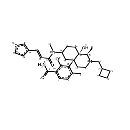 Cc1ccc(C(N)=O)c(O)c1[C@]12CCN(CC3CCC3)[C@H](C)[C@]1(O)CCC(N(C)C(=O)/C=C/c1ccoc1)C2